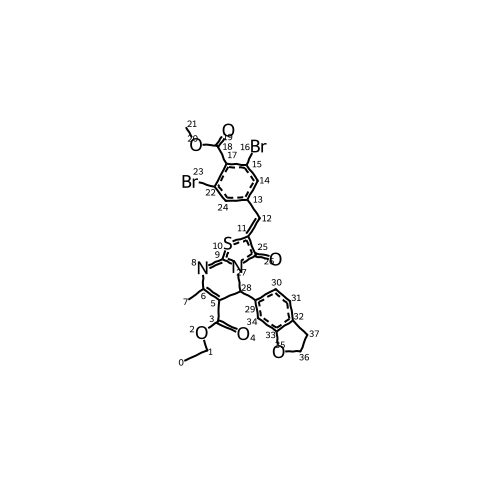 CCOC(=O)C1=C(C)N=c2s/c(=C\c3cc(Br)c(C(=O)OC)c(Br)c3)c(=O)n2C1c1ccc2c(c1)OCC2